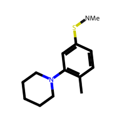 CNSc1ccc(C)c(N2CCCCC2)c1